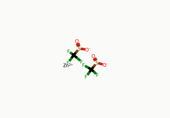 O=S([O-])C(F)(F)F.O=S([O-])C(F)(F)F.[Zn+2]